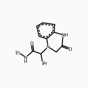 CCNC(=O)C(C(C)C)N1CC(=O)Nc2ccccc21